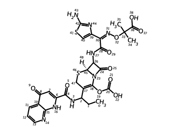 CCC(NC(=O)c1cc(=O)c2cccnc2[nH]1)C1=C(OC(=O)O)N2C(=O)C(NC(=O)/C(=N\OC(C)(C)C(=O)O)c3csc(N)n3)[C@@H]2SC1